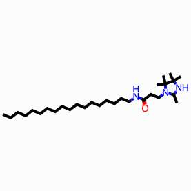 CCCCCCCCCCCCCCCCCCNC(=O)CCN1C(C)NC(C)(C)C1(C)C